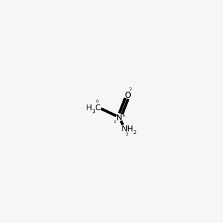 C[N+](N)=O